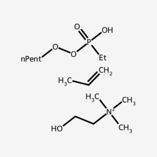 C=CC.CCCCCOOP(=O)(O)CC.C[N+](C)(C)CCO